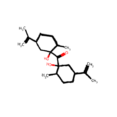 C=C(C)C1CCC(C)C(O)(C(=O)C2(O)CC(C(=C)C)CCC2C)C1